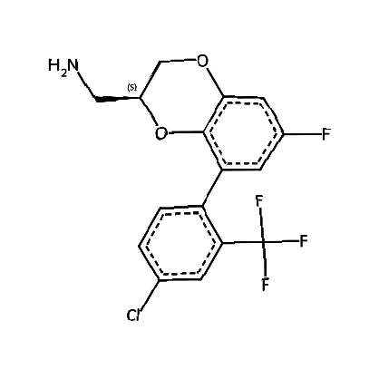 NC[C@H]1COc2cc(F)cc(-c3ccc(Cl)cc3C(F)(F)F)c2O1